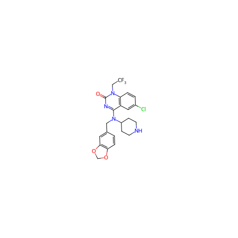 O=c1nc(N(Cc2ccc3c(c2)OCO3)C2CCNCC2)c2cc(Cl)ccc2n1CC(F)(F)F